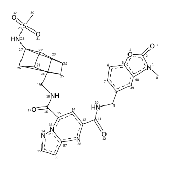 Cn1c(=O)oc2ccc(CNC(=O)c3cc(C(=O)NCC45C6C7C4C4C5C6C74NS(C)(=O)=O)n4nccc4n3)cc21